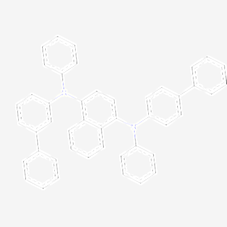 c1ccc(-c2ccc(N(c3ccccc3)c3ccc(N(c4ccccc4)c4cccc(-c5ccccc5)c4)c4ccccc34)cc2)cc1